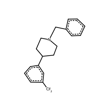 FC(F)(F)c1cccc([C]2CCN(Cc3ccccc3)CC2)c1